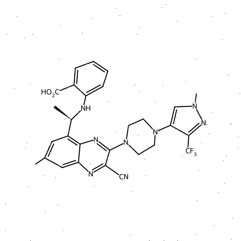 Cc1cc([C@@H](C)Nc2ccccc2C(=O)O)c2nc(N3CCN(c4cn(C)nc4C(F)(F)F)CC3)c(C#N)nc2c1